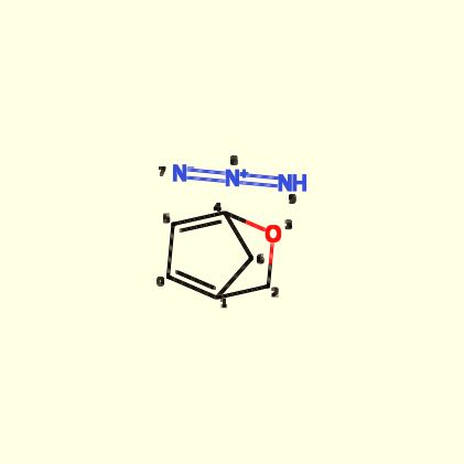 C1=C2COC(=C1)C2.[N-]=[N+]=N